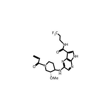 C=CC(=O)N1CCC(Nc2cnc3[nH]cc(C(=O)NCCC(F)(F)F)c3n2)[C@H](OC)C1